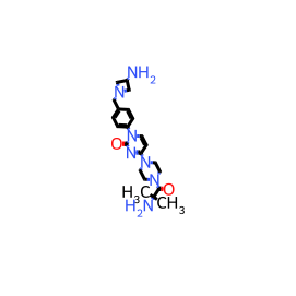 CC(C)(N)C(=O)N1CCN(c2ccn(-c3ccc(CN4CC(N)C4)cc3)c(=O)n2)CC1